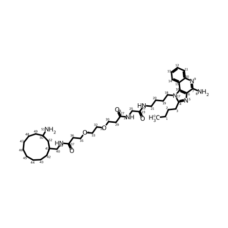 CCCCc1nc2c(N)nc3ccccc3c2n1CCCCNC(=O)CNC(=O)CCOCCOCCC(=O)NCC1CCCCCCCCC(N)C1